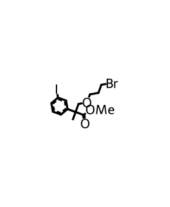 COC(=O)C(C)(COCCCBr)c1cccc(I)c1